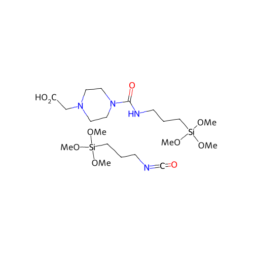 CO[Si](CCCN=C=O)(OC)OC.CO[Si](CCCNC(=O)N1CCN(CC(=O)O)CC1)(OC)OC